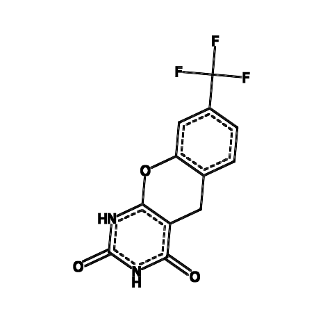 O=c1[nH]c2c(c(=O)[nH]1)Cc1ccc(C(F)(F)F)cc1O2